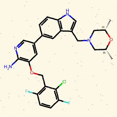 C[C@@H]1CN(Cc2c[nH]c3ccc(-c4cnc(N)c(OCc5c(F)ccc(F)c5Cl)c4)cc23)C[C@H](C)O1